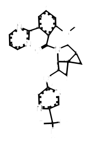 COc1cccc(-c2ncccn2)c1C(=O)N1CC2CC23CC(Oc2cnc(C(F)(F)F)cn2)C13